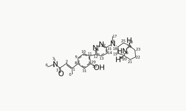 C/C(=C\C(=O)N(C)C)c1ccc(-c2ccc(N(C)[C@H]3C[C@H]4CCC[C@@H](C3)N4)nn2)c(O)c1